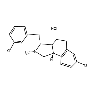 CN1C[C@H]2c3ccc(Cl)cc3CCC2[C@H]1Cc1cccc(Cl)c1.Cl